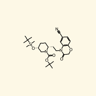 CC(C)(C)OC(=O)N1C[C@H](O[Si](C)(C)C(C)(C)C)CC[C@@H]1CCN1C(=O)COc2ccc(C#N)cc21